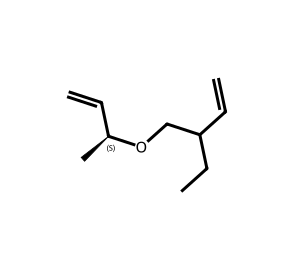 C=CC(CC)CO[C@@H](C)C=C